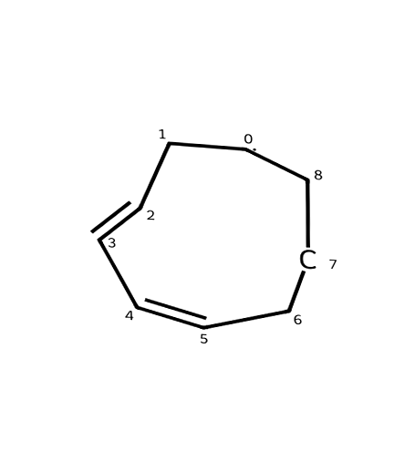 [CH]1C/C=C/C=C\CCC1